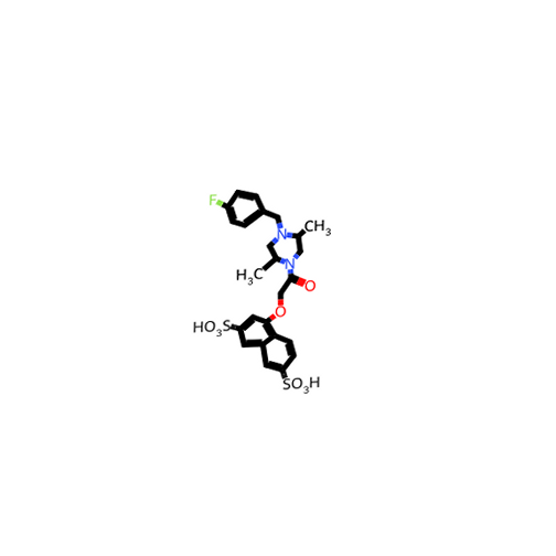 CC1CN(C(=O)COc2cc(S(=O)(=O)O)cc3cc(S(=O)(=O)O)ccc23)C(C)CN1Cc1ccc(F)cc1